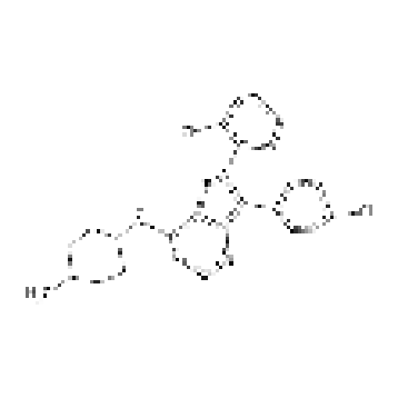 CC1CCC(Nc2ncnc3c(-c4ccc(Cl)cc4)n(-c4ccccc4Cl)nc23)CC1